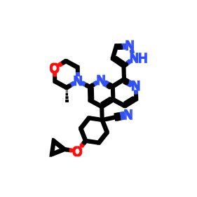 C[C@@H]1COCCN1c1cc(C2(C#N)CCC(OC3CC3)CC2)c2ccnc(-c3ccn[nH]3)c2n1